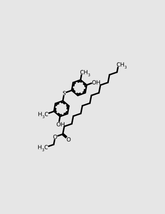 CCCCCCCCCCCCCC(=O)OCC.Cc1cc(Sc2ccc(O)c(C)c2)ccc1O